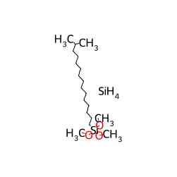 CO[Si](CCCCCCCCCCCCCC(C)C)(OC)OC.[SiH4]